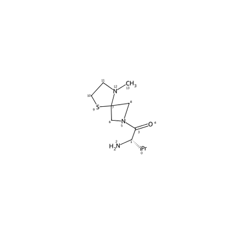 CC(C)[C@H](N)C(=O)N1CC2(C1)SCCN2C